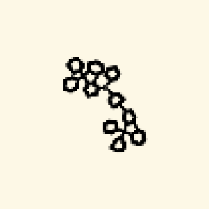 c1ccc(N(c2ccc(-c3ccc4c(c3)C(c3ccccc3)(c3ccccc3)c3ccccc3-4)cc2)c2cccc3c2-c2ccccc2C3(c2ccccc2)c2ccccc2)cc1